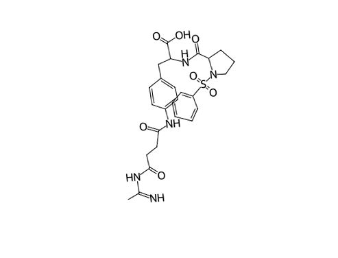 CC(=N)NC(=O)CCC(=O)Nc1ccc(CC(NC(=O)C2CCCN2S(=O)(=O)c2ccccc2)C(=O)O)cc1